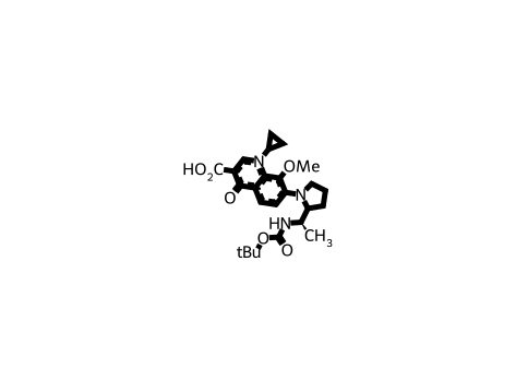 COc1c(N2CCCC2[C@H](C)NC(=O)OC(C)(C)C)ccc2c(=O)c(C(=O)O)cn(C3CC3)c12